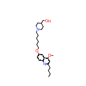 CCCCc1cc(OC)c2cc(OCCCCCCN3CCC(CO)CC3)ccc2n1